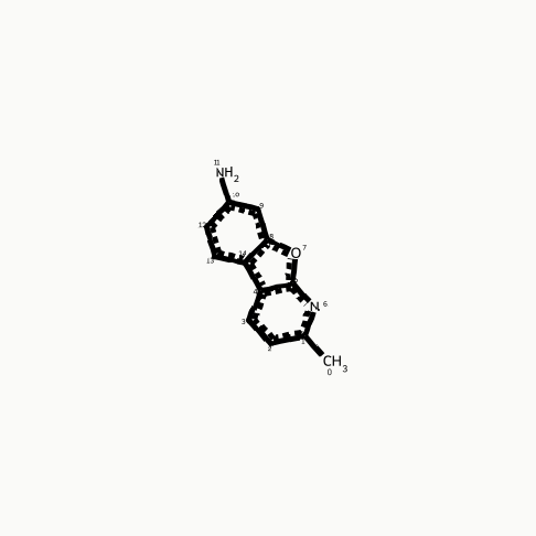 Cc1ccc2c(n1)oc1cc(N)ccc12